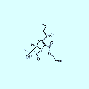 C=CCOC(=O)C1=C([S+]([O-])CCC)S[C@@H]2[C@@H]([C@@H](C)O)C(=O)N12